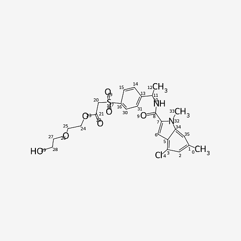 Cc1cc(Cl)c2cc(C(=O)NC(C)c3ccc(S(=O)(=O)CC(=O)OCCOCCO)cc3)n(C)c2c1